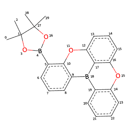 CC1(C)OB(c2cccc3c2Oc2cccc4c2B3c2ccccc2O4)OC1(C)C